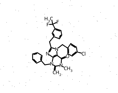 C=C1N(C)C(=O)c2c(nc(Cc3cccc(C(C)(F)F)c3)n2Cc2ccc(Cl)cc2)N1Cc1ccccc1